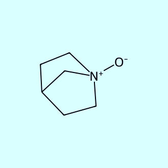 [O-][N+]12CCC(CC1)C2